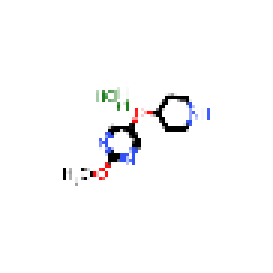 COc1ncc(OC2CCNCC2)cn1.Cl.Cl